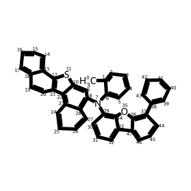 Cc1ccccc1N(c1cc2sc3c4ccccc4ccc3c2c2ccccc12)c1cccc2c1oc1c(-c3ccccc3)cccc12